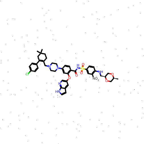 C[C@H]1CO[C@@H](CNc2ccc(S(=O)(=O)NC(=O)c3ccc(N4CCN(CC5=C(c6ccc(Cl)cc6)CC(C)(C)CC5)CC4)cc3Oc3cnc4[nH]ccc4c3)cc2[N+](=O)[O-])CO1